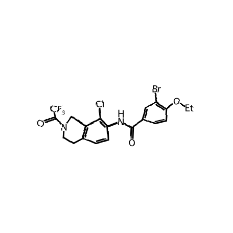 CCOc1ccc(C(=O)Nc2ccc3c(c2Cl)CN(C(=O)C(F)(F)F)CC3)cc1Br